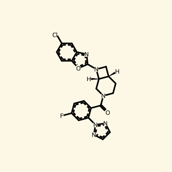 O=C(c1ccc(F)cc1-n1nccn1)N1CC[C@H]2CN(c3nc4cc(Cl)ccc4o3)[C@H]2C1